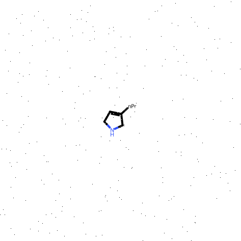 CCCC1=CCN[C]1